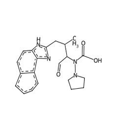 CC(Cc1nc2c(ccc3ccccc32)[nH]1)C(C=O)N(C(=O)O)N1CCCC1